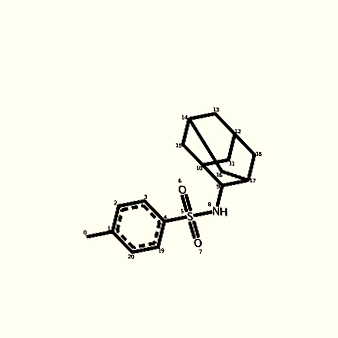 Cc1ccc(S(=O)(=O)NC2C3CC4CC(C3)CC2C4)cc1